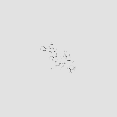 CC[C@H](C)[C@@H]([C@@H](CC(=O)N1CCC[C@H]1[C@H](OC)[C@@H](C)C(=O)N[C@@H](Cc1ccccc1)C1NC=CS1)OC)N(C)C(=O)CNC(=O)[C@H](C(C)C)N(C)CCc1ccc(N)cc1